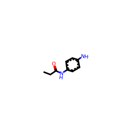 CCC(=O)Nc1ccc([NH])cc1